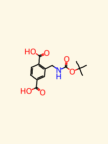 CC(C)(C)OC(=O)NCc1cc(C(=O)O)ccc1C(=O)O